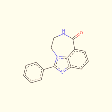 O=C1NCCn2c(-c3ccccc3)nc3cccc1c32